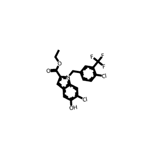 CCOC(=O)c1cc2cc(O)c(Cl)cc2n1Cc1ccc(Cl)c(C(F)(F)F)c1